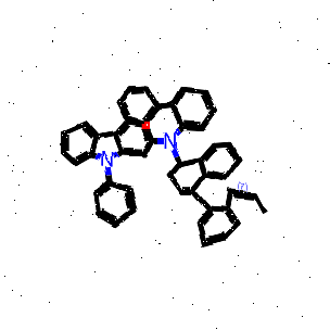 C/C=C\c1ccccc1C1=CCC(N(c2ccc3c4ccccc4n(-c4ccccc4)c3c2)c2ccccc2-c2ccccc2)c2ccccc21